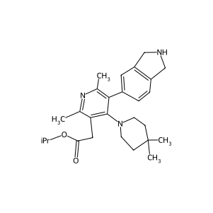 Cc1nc(C)c(-c2ccc3c(c2)CNC3)c(N2CCC(C)(C)CC2)c1CC(=O)OC(C)C